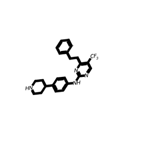 FC(F)(F)c1cnc(Nc2ccc(C3CCNCC3)cc2)nc1CCc1[c]cccc1